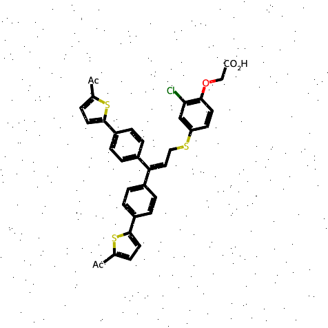 CC(=O)c1ccc(-c2ccc(C(=CCSc3ccc(OCC(=O)O)c(Cl)c3)c3ccc(-c4ccc(C(C)=O)s4)cc3)cc2)s1